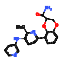 COc1nc(-c2cccc3c2OC(C(N)=O)CO3)ccc1Nc1cccnc1